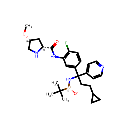 CO[C@H]1CN[C@@H](C(=O)Nc2cc(C(CCC3CC3)(N[S@+]([O-])C(C)(C)C)c3ccncc3)ccc2F)C1